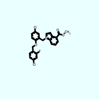 COC(=O)c1cccc2c1ccn2Cc1cc(Cl)ccc1OCc1ccc(Cl)cc1F